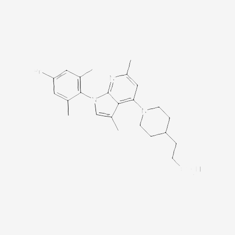 Cc1cc(N2CCC(CCC(=O)O)CC2)c2c(C)cn(-c3c(C)cc(Br)cc3C)c2n1